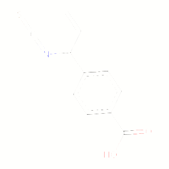 C=CC(N=C=S)c1ccc(C(=O)O)cc1